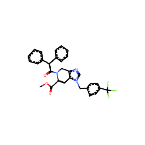 COC(=O)C1Cc2c(ncn2Cc2ccc(C(F)(F)F)cc2)CN1C(=O)C(c1ccccc1)c1ccccc1